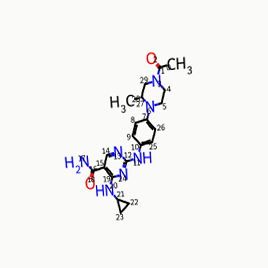 CC(=O)N1CCN(c2ccc(Nc3ncc(C(N)=O)c(NC4CC4)n3)cc2)[C@@H](C)C1